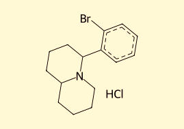 Brc1ccccc1C1CCCC2CCCCN21.Cl